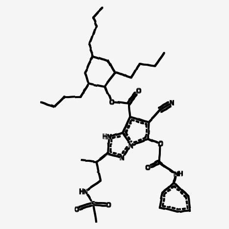 CCCCC1CC(CCCC)C(OC(=O)c2c(C#N)c(OC(=O)Nc3ccccc3)n3nc(C(C)CNS(C)(=O)=O)[nH]c23)C(CCCC)C1